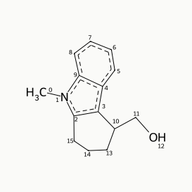 Cn1c2c(c3ccccc31)C(CO)CCC2